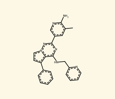 Cc1cc(-c2nc(NCc3ccccn3)c3c(-c4ccccc4)ccn3n2)cnc1N